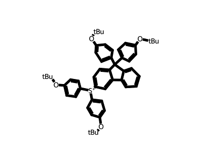 CC(C)(C)Oc1ccc([S+](c2ccc(OC(C)(C)C)cc2)c2ccc3c(c2)-c2ccccc2C3(c2ccc(OC(C)(C)C)cc2)c2ccc(OC(C)(C)C)cc2)cc1